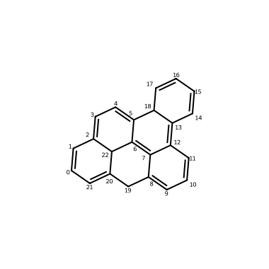 C1=CC2=CC=C3C4=c5c(cccc5=C5C=CC=CC35)CC(=C1)C24